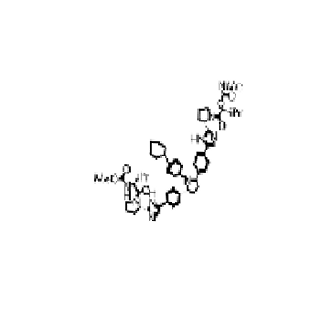 CNC(=O)O[C@H](C(=O)N1CCC[C@H]1c1ncc(-c2ccc([C@H]3CC[C@H](c4ccc(-c5cnc([C@@H]6CCCN6C(=O)[C@@H](NC(=O)OC)C(C)C)[nH]5)cc4)N3c3ccc(C4CCCCC4)cc3)cc2)[nH]1)C(C)C